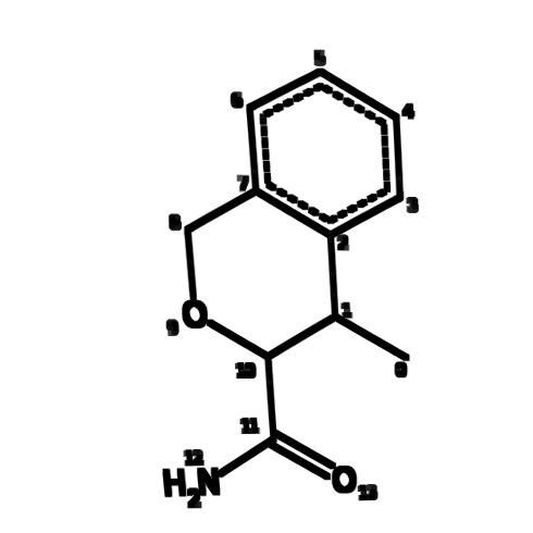 CC1c2ccccc2COC1C(N)=O